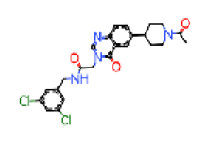 CC(=O)N1CCC(c2ccc3ncn(CC(=O)NCc4cc(Cl)cc(Cl)c4)c(=O)c3c2)CC1